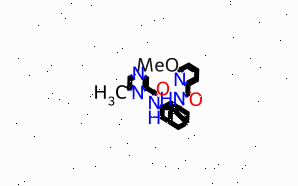 COc1cccc(C(=O)NC23CC4CC(CC(NC(=O)c5cncc(C)n5)(C4)C2)C3)n1